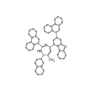 CC1=C=C(c2cc(-c3cc4ccccc4c4ccccc34)cc3oc4ccccc4c23)N=C(c2cc3ccccc3c3ccccc23)NC1c1ccc2ccccc2c1